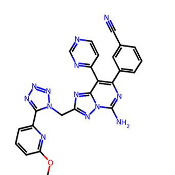 COc1cccc(-c2nnnn2Cc2nc3c(-c4ccncn4)c(-c4cccc(C#N)c4)nc(N)n3n2)n1